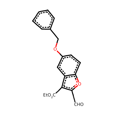 CCOC(=O)c1c(C=O)oc2ccc(OCc3ccccc3)cc12